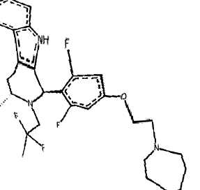 C[C@@H]1Cc2c([nH]c3ccccc23)[C@@H](c2c(F)cc(OCCN3CCCCCC3)cc2F)N1CC(C)(F)F